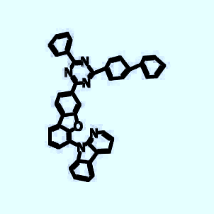 c1ccc(-c2ccc(-c3nc(-c4ccccc4)nc(-c4ccc5c(c4)oc4c(-n6c7ccccc7c7cccnc76)cccc45)n3)cc2)cc1